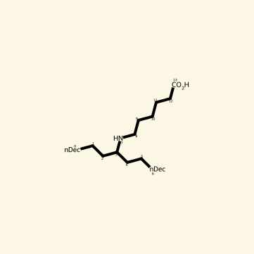 CCCCCCCCCCCCC(CCCCCCCCCCCC)NCCCCCC(=O)O